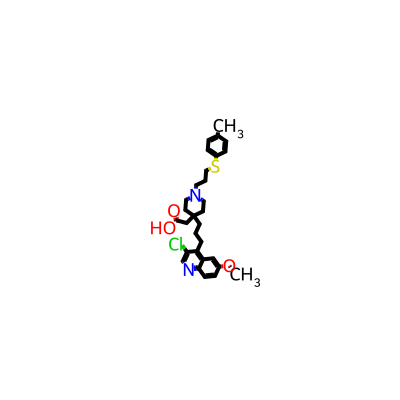 COc1ccc2ncc(Cl)c(CCCC3(CC(=O)O)CCN(CCCSc4ccc(C)cc4)CC3)c2c1